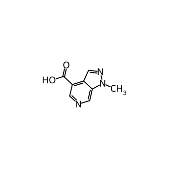 Cn1ncc2c(C(=O)O)cncc21